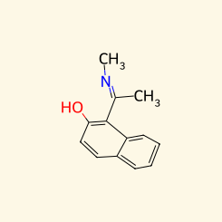 C/N=C(\C)c1c(O)ccc2ccccc12